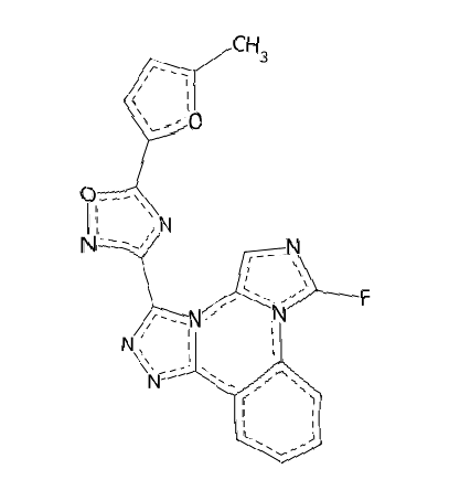 Cc1ccc(-c2nc(-c3nnc4c5ccccc5n5c(F)ncc5n34)no2)o1